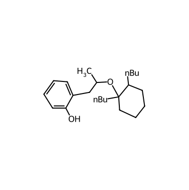 CCCCC1CCCCC1(CCCC)OC(C)Cc1ccccc1O